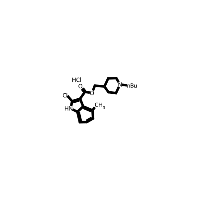 CCCCN1CCC(COC(=O)c2c(Cl)[nH]c3cccc(C)c23)CC1.Cl